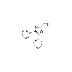 ClCc1nc(-c2ccccc2)c(-c2ccccc2)o1